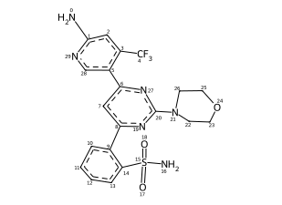 Nc1cc(C(F)(F)F)c(-c2cc(-c3ccccc3S(N)(=O)=O)nc(N3CCOCC3)n2)cn1